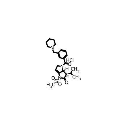 CC(C)[C@H]1C(=O)N(S(C)(=O)=O)C2=CCN(C(=O)c3cccc(CN4CCCCC4)c3)[C@@H]21.Cl